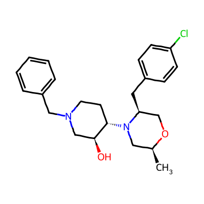 C[C@H]1CN([C@H]2CCN(Cc3ccccc3)C[C@@H]2O)[C@@H](Cc2ccc(Cl)cc2)CO1